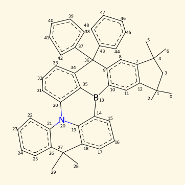 CC1(C)CC(C)(C)c2cc3c(cc21)B1c2cccc4c2N(c2ccccc2C4(C)C)c2cccc(c21)C3(c1ccccc1)c1ccccc1